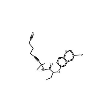 CCC(Oc1ccc2ncc(Br)cc2c1)C(=O)NC(C)(C)C#CCCCC#N